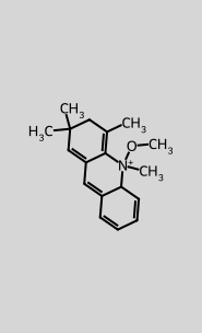 CO[N+]1(C)C2=C(C)CC(C)(C)C=C2C=C2C=CC=CC21